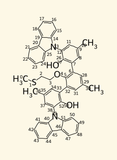 CSCCOc1c(-c2cc(C)cc(-n3c4ccccc4c4ccccc43)c2O)cc(C)cc1-c1cc(C)cc(-n2c3ccccc3c3ccccc32)c1O